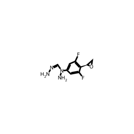 N/N=C\N(N)c1cc(F)c([C@H]2CO2)c(F)c1